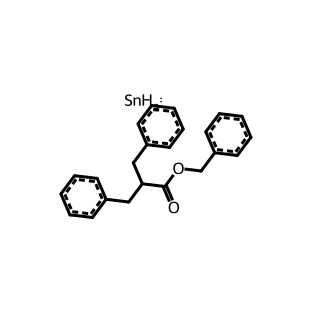 O=C(OCc1ccccc1)C(Cc1ccccc1)Cc1ccccc1.[SnH2]